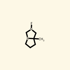 CC12CCCN1CN(F)C2